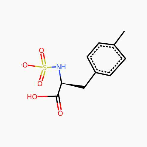 Cc1ccc(C[C@H](NS([O])(=O)=O)C(=O)O)cc1